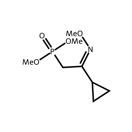 CO/N=C(\CP(=O)(OC)OC)C1CC1